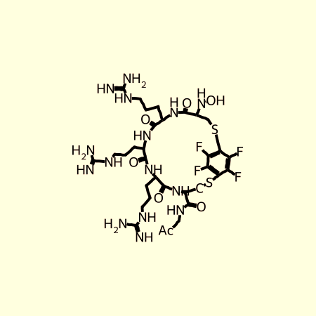 CC(=O)CNC(=O)C1CSc2c(F)c(F)c(c(F)c2F)SCC(NO)C(=O)NC(CCCNC(=N)N)C(=O)NC(CCCNC(=N)N)C(=O)NC(CCCNC(=N)N)C(=O)N1